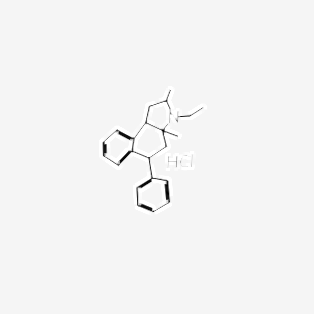 CCN1C(C)CC2c3ccccc3C(c3ccccc3)CC21C.Cl